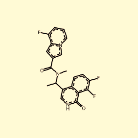 CC(c1c[nH]c(=O)c2c(F)c(F)ccc12)N(C)C(=O)c1cc2c(F)cccn2c1